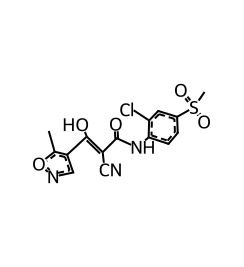 Cc1oncc1/C(O)=C(\C#N)C(=O)Nc1ccc(S(C)(=O)=O)cc1Cl